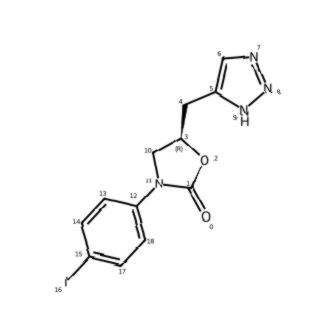 O=C1O[C@H](Cc2cnn[nH]2)CN1c1ccc(I)cc1